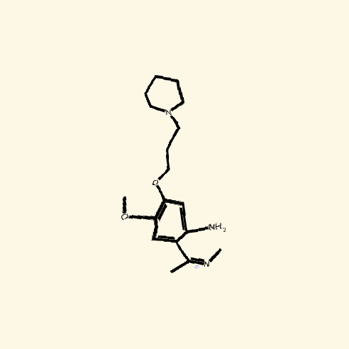 C/N=C(/C)c1cc(OC)c(OCCCN2CCCCC2)cc1N